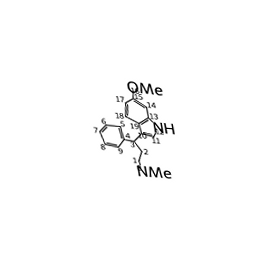 CNCCC(c1ccccc1)c1c[nH]c2cc(OC)ccc12